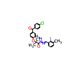 Cc1cccc(/C=N/NC(=O)C(C)(C)Oc2ccc(C(=O)c3ccc(Cl)cc3)cc2)c1I